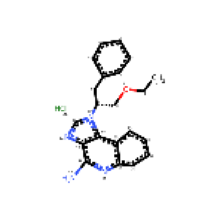 CCOC[C@@H](Cc1ccccc1)n1cnc2c(N)nc3ccccc3c21.Cl